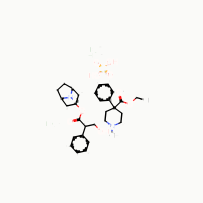 CCOC(=O)C1(c2ccccc2)CCN(C)CC1.CN1C2CCC1CC(OC(=O)C(CO)c1ccccc1)C2.Cl.Cl.Cl.O=S(=O)(O)O